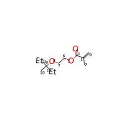 C=C(C)C(=O)OCCOC(C)(CC)CC